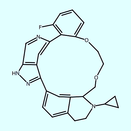 Fc1cccc2c1-c1cc3c(n[nH]c3cn1)-c1ccc3c(c1)C(COCCO2)N(C1CC1)CC3